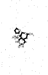 CC1CCC(C)([C@@H]2CCCO2)C2C(CN[S+]([O-])N[C@@H]2N)C1